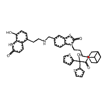 O=C(OC1C2CC1CN(CCCn1c(=O)sc3cc(CNCCc4ccc(O)c5[nH]c(=O)ccc45)ccc31)C2)C(O)(c1cccs1)c1cccs1